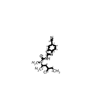 CCC(Cl)CC(C)N(C)C(=O)Nc1nc2ccc(C#N)cc2s1